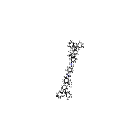 CC1(C)C2=C(CCC(N(C3=CC=CCC3)c3ccccc3)=C2)c2ccc(/C=C/C3=CC=C(/C=C/c4ccc5c(c4)C(C)(C)c4cc(N(C6=CC=CCC6)c6ccccc6)ccc4-5)CC3)cc21